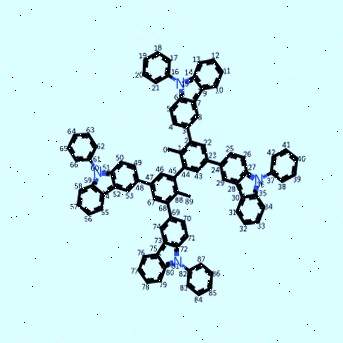 Cc1c(-c2ccc3c(c2)c2ccccc2n3-c2ccccc2)cc(-c2ccc3c(c2)c2ccccc2n3-c2ccccc2)cc1-c1cc(-c2ccc3c(c2)c2ccccc2n3-c2ccccc2)cc(-c2ccc3c(c2)c2ccccc2n3-c2ccccc2)c1C